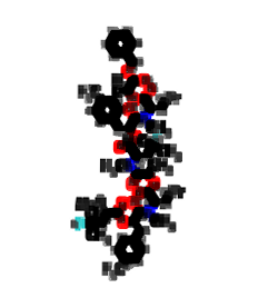 CN[C@@H](CC(C)(C)F)C(=O)O[C@H](CC1=CC=C(C(F)(F)F)CC1)C(=O)N(C)[C@@H](CC(C)C)C(=O)O[C@H](C)C(=O)N(C)[C@@H](CC(C)(C)F)C(=O)O[C@H](Cc1ccc(C(F)(F)F)cc1)C(=O)N(C)[C@@H](CC(C)C)C(=O)O[C@H](C)C(=O)OCc1ccccc1